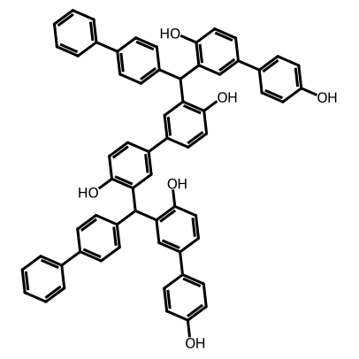 Oc1ccc(-c2ccc(O)c(C(c3ccc(-c4ccccc4)cc3)c3cc(-c4ccc(O)c(C(c5ccc(-c6ccccc6)cc5)c5cc(-c6ccc(O)cc6)ccc5O)c4)ccc3O)c2)cc1